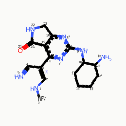 CCCN/C=C(\C=N)c1nc(NC2CCCCC2N)nc2c1C(=O)NC2